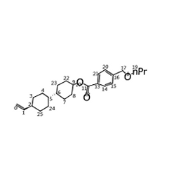 C=C[C@H]1CC[C@H](C2CCC(OC(=O)c3ccc(COCCC)cc3)CC2)CC1